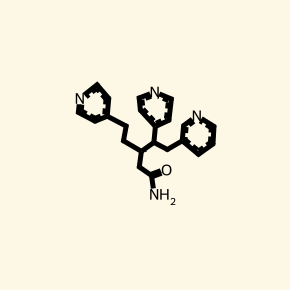 NC(=O)C[C](CCc1ccncc1)C(Cc1cccnc1)c1ccncc1